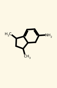 CC1CC(C)C2CC(N)=CC=C12